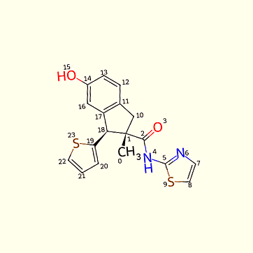 C[C@]1(C(=O)Nc2nccs2)Cc2ccc(O)cc2[C@@H]1c1cccs1